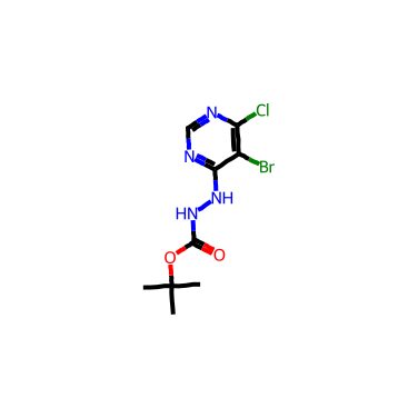 CC(C)(C)OC(=O)NNc1ncnc(Cl)c1Br